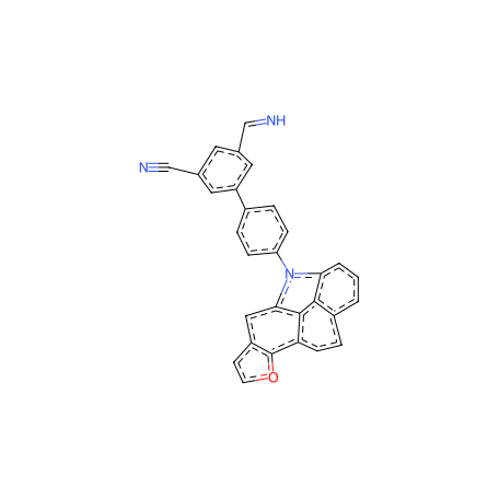 N#Cc1cc(C=N)cc(-c2ccc(-n3c4cccc5ccc6c7occc7cc3c6c54)cc2)c1